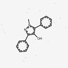 Cn1nc(-c2ccccc2)c(O)c1-c1ccccc1